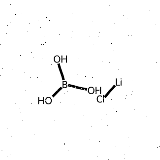 OB(O)O.[Li][Cl]